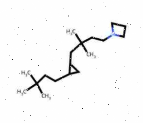 CC(C)(C)CCC1CC1CC(C)(C)CCN1CCC1